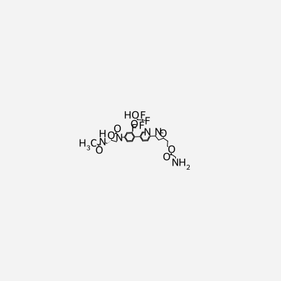 CC(=O)NC[C@H]1CN(c2ccc(-c3ccc(C4=NOC(CCOC(=O)CN)C4)nc3)c(F)c2)C(=O)O1.O=C(O)C(F)(F)F